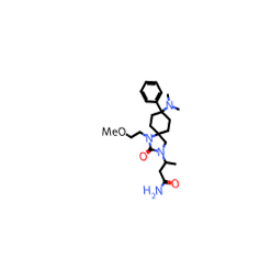 COCCN1C(=O)N(C(C)CC(N)=O)CC12CCC(c1ccccc1)(N(C)C)CC2